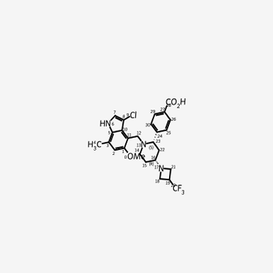 COc1cc(C)c2[nH]cc(Cl)c2c1CN1CC[C@@H](N2CC(C(F)(F)F)C2)C[C@H]1c1ccc(C(=O)O)cc1